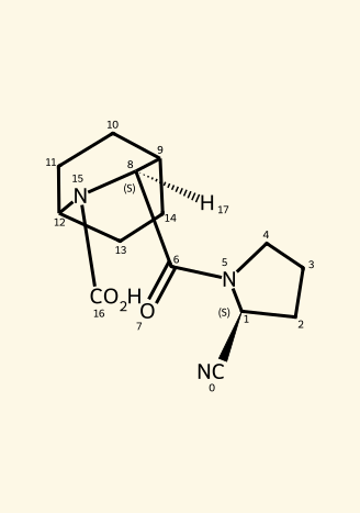 N#C[C@@H]1CCCN1C(=O)[C@@H]1C2CCC(CC2)N1C(=O)O